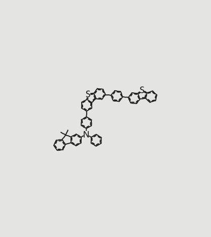 CC1(C)c2ccccc2-c2ccc(N(c3ccccc3)c3ccc(-c4ccc5sc6ccc(-c7ccc(-c8ccc9c(c8)sc8ccccc89)cc7)cc6c5c4)cc3)cc21